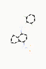 O=[SH](=O)Nc1ccc(NS(=O)(=O)c2c(F)cccc2F)c2ccccc12